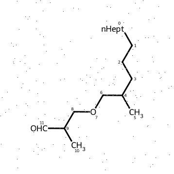 CCCCCCCCCCC(C)COCC(C)C=O